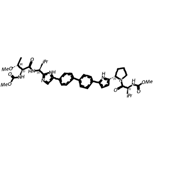 COC(=O)N[C@H](C(=O)N1CCC[C@H]1c1ccc(-c2ccc(-c3ccc(-c4cnc([C@@H](NC(=O)[C@@H](NC(=O)OC)[C@@H](C)OC)C(C)C)[nH]4)cc3)cc2)[nH]1)C(C)C